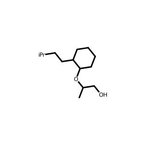 CC(C)CCC1CCCCC1OC(C)CO